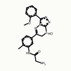 COc1ccccc1-c1nnc2n1N=C(c1ccc(C)c(NC(=O)CN)c1)CS2.Cl